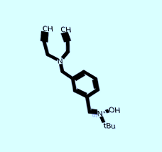 C#CCN(CC#C)Cc1cccc(/C=[N+](\O)C(C)(C)C)c1